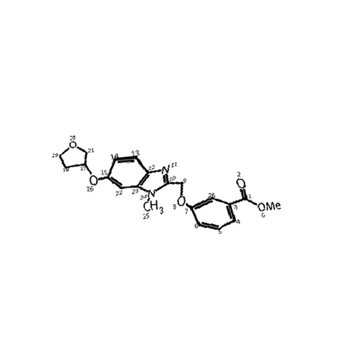 COC(=O)c1cccc(OCc2nc3ccc(OC4CCOC4)cc3n2C)c1